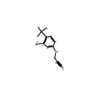 CC(C)(C)c1ccc(OCC#N)cc1Br